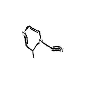 CC1C=NC=CN1C#N